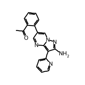 CC(=O)c1ccccc1-c1cnc2c(-c3ccccn3)c(N)nn2c1